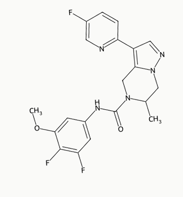 COc1cc(NC(=O)N2Cc3c(-c4ccc(F)cn4)cnn3CC2C)cc(F)c1F